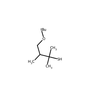 CC(COC(C)(C)C)C(C)(C)S